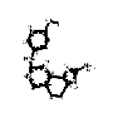 COc1ccc(Nc2ncc3c(n2)-c2sc(N)nc2CC3)cn1